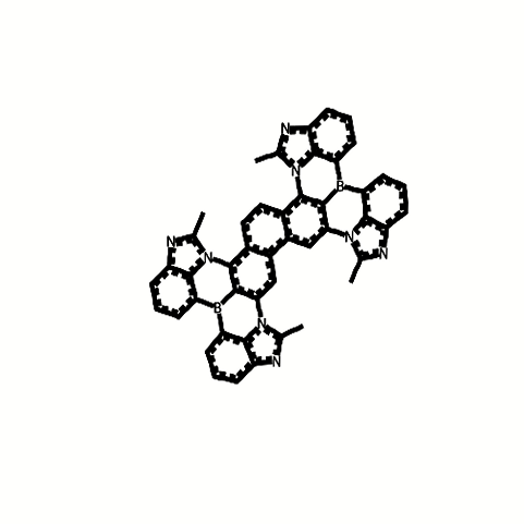 Cc1nc2cccc3c2n1-c1cc2c(ccc4c5c6c(cc42)-n2c(C)nc4cccc(c42)B6c2cccc4nc(C)n-5c24)c2c1B3c1cccc3nc(C)n-2c13